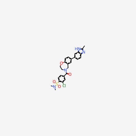 Cc1nc2ccc(-c3ccc4c(c3)CN(C(=O)c3ccc(S(=O)(=O)N(C)C)c(Cl)c3)CCO4)cc2[nH]1